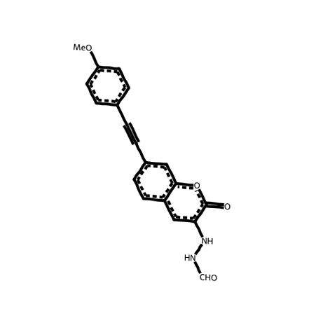 COc1ccc(C#Cc2ccc3cc(NNC=O)c(=O)oc3c2)cc1